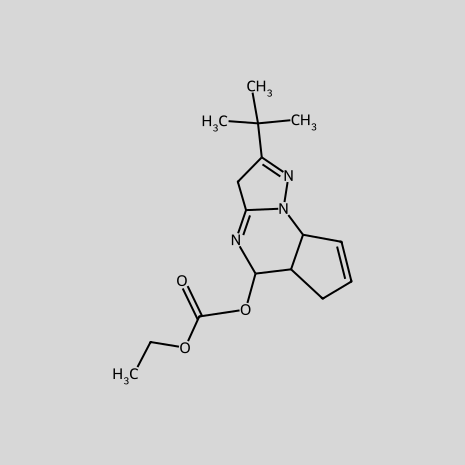 CCOC(=O)OC1N=C2CC(C(C)(C)C)=NN2C2C=CCC12